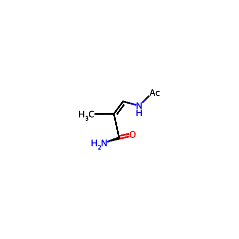 CC(=O)NC=C(C)C(N)=O